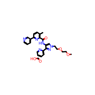 COCCOCCn1cc(NC(=O)c2nc(-c3cccnc3)ccc2C)c(-c2ccccn2)n1.O=CO